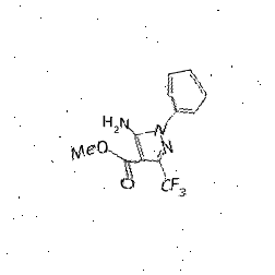 COC(=O)c1c(C(F)(F)F)nn(-c2ccccc2)c1N